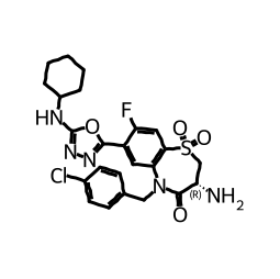 N[C@H]1CS(=O)(=O)c2cc(F)c(-c3nnc(NC4CCCCC4)o3)cc2N(Cc2ccc(Cl)cc2)C1=O